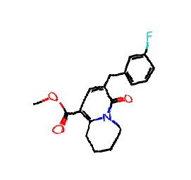 COC(=O)c1cc(Cc2cccc(F)c2)c(=O)n2c1CCCC2